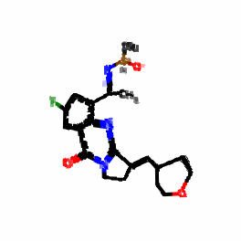 C/C(=N\[S@+]([O-])C(C)(C)C)c1cc(F)cc2c(=O)n3c(nc12)C(=CC1CCOCC1)CC3